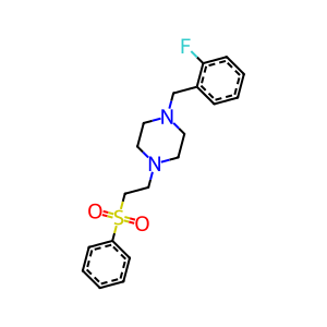 O=S(=O)(CCN1CCN(Cc2ccccc2F)CC1)c1ccccc1